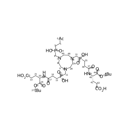 CC(=O)CCP(=O)(O)CN1CCN(CP(=O)(O)CCC(=O)NC(CCC(=O)O)C(=O)OC(C)(C)C)CCN(CP(=O)(O)CCC(=O)N[C@@H](CCC(=O)O)C(=O)OC(C)(C)C)CC1